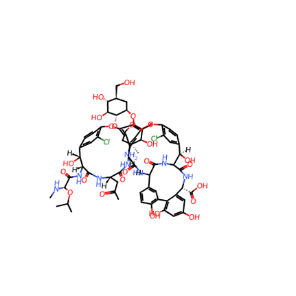 CN[C@H](OC(C)C)C(=O)N[C@H]1C(=O)N[C@@H](CC(C)=O)C(=O)N[C@H]2C(=O)N[C@H]3C(=O)NC(C(=O)N[C@H](C(=O)O)c4cc(O)cc(O)c4-c4cc3ccc4O)[C@H](O)c3ccc(c(Cl)c3)Oc3cc2cc(c3O[C@@H]2C[C@H](CO)[C@@H](O)[C@H](O)[C@H]2O[C@H]2C[C@](C)(N)[C@H](O)[C@H](C)O2)Oc2ccc(cc2Cl)[C@H]1O